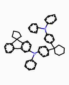 c1ccc(N(c2ccccc2)c2ccc(C3(c4ccc(N(c5ccccc5)c5ccc6c(c5)-c5ccccc5C65CCCC5)cc4)CCCCC3)cc2)cc1